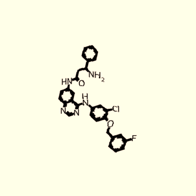 NC(CC(=O)Nc1ccc2ncnc(Nc3ccc(OCc4cccc(F)c4)c(Cl)c3)c2c1)c1ccccc1